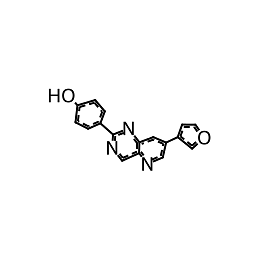 Oc1ccc(-c2ncc3ncc(-c4ccoc4)cc3n2)cc1